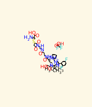 CC(C)(C)[C@H](c1nc(-c2cc(F)ccc2F)cn1Cc1ccccc1)N(CC[C@H](N)C(=O)NCCC(=O)NCCN1C(=O)CC(SC[C@H](N)C(=O)O)C1=O)C(=O)CO.O=C(O)C(F)(F)F